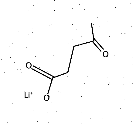 CC(=O)CCC(=O)[O-].[Li+]